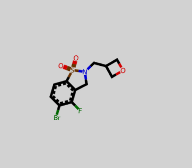 O=S1(=O)c2ccc(Br)c(F)c2CN1CC1COC1